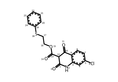 O=C1Nc2cc(Cl)ccc2C(=O)C1C(=O)OCCSc1ccccc1